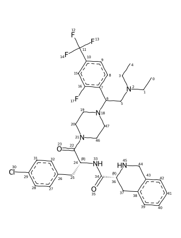 CCN(CC)CC(c1ccc(C(F)(F)F)cc1F)N1CCN(C(=O)[C@@H](Cc2ccc(Cl)cc2)NC(=O)[C@H]2Cc3ccccc3CN2)CC1